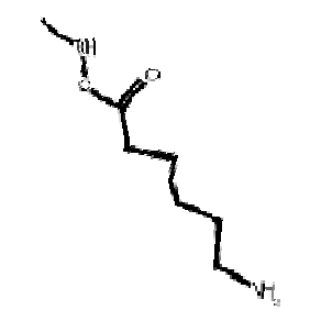 CBOC(=O)CCCCCN